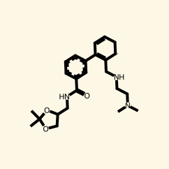 CN(C)CCNCC1=C(c2cccc(C(=O)NCC3COC(C)(C)O3)c2)C=CC[CH]1